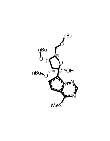 CCCCOC[C@H]1O[C@@](O)(c2ccc3c(SC)ncnn23)[C@H](OCCCC)[C@@H]1OCCCC